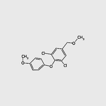 COCc1cc(Cl)c(Oc2ccc(OC)cc2)c(Cl)c1